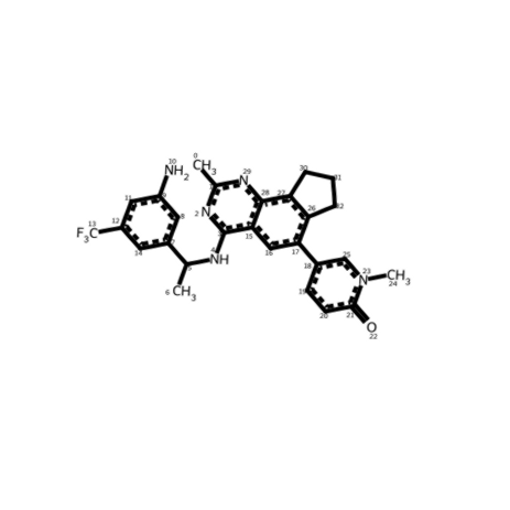 Cc1nc(NC(C)c2cc(N)cc(C(F)(F)F)c2)c2cc(-c3ccc(=O)n(C)c3)c3c(c2n1)CCC3